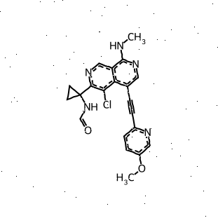 CNc1ncc(C#Cc2ccc(OC)cn2)c2c(Cl)c(C3(NC=O)CC3)ncc12